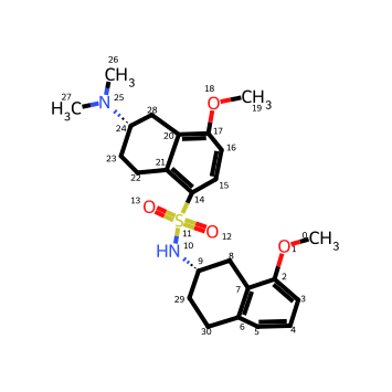 COc1cccc2c1C[C@@H](NS(=O)(=O)c1ccc(OC)c3c1CC[C@H](N(C)C)C3)CC2